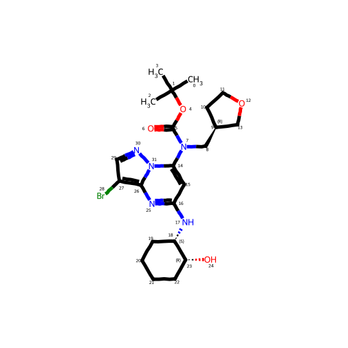 CC(C)(C)OC(=O)N(C[C@H]1CCOC1)c1cc(N[C@H]2CCCC[C@H]2O)nc2c(Br)cnn12